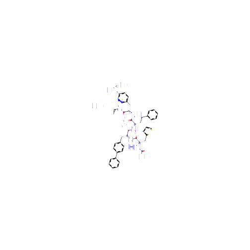 CCC(=O)N[C@H](Cc1cccs1)C(=O)N[C@@H](Cc1ccc(-c2ccccc2)cc1)C(=O)N[C@H](CCc1ccccc1)C(=O)N[C@@H](Cc1ccc(NC=O)cc1)C(=O)N[C@@H](C)C(=O)O